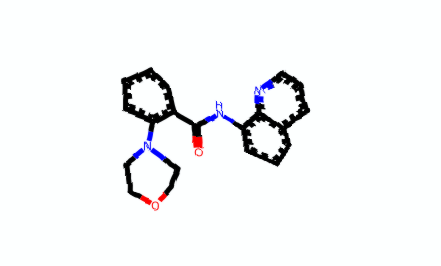 O=C(Nc1cccc2cccnc12)c1ccccc1N1CCOCC1